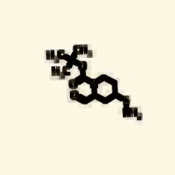 CC(C)(C)OC(=O)N1CCC(SN)CC1C=O